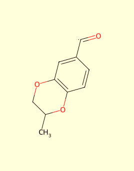 CC1COc2cc([C]=O)ccc2O1